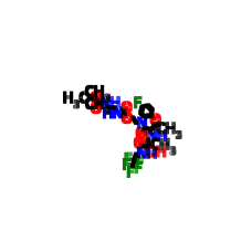 C[C@H]1Oc2ccc(F)cc2N(CCOC(=O)NCCNC(=O)OC(C)(C)C)C(=O)[C@H]1NC(=O)[C@@](C)(O)C(=O)NCC(F)(F)C(F)(F)F